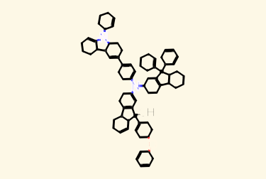 CC1(C2=CCC(OC3C=CC=CC3)CC2)C2=C(CCC(N(C3=CC=C(C4=CC5C6CCCC=C6N(C6C=CCCC6)C5CC4)CC3)C3CCC4=C(C3)C(C3=CCCCC3)(C3C=CC=CC3)C3CCCCC43)=C2)C2CCC=CC21